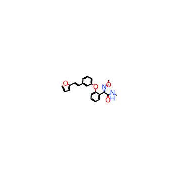 CNC(=O)C(=NOC)c1ccccc1Oc1cccc(C=Cc2ccco2)c1